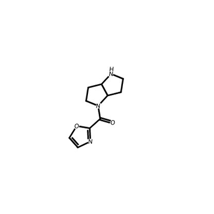 O=C(c1ncco1)N1CCC2NCCC21